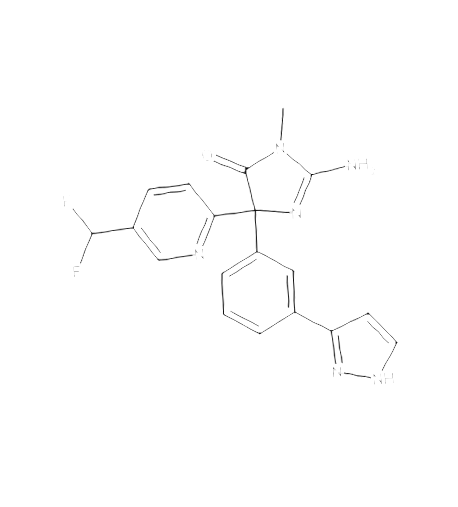 CN1C(=O)C(c2cccc(-c3cc[nH]n3)c2)(c2ccc(C(F)F)cn2)N=C1N